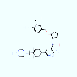 CC[C@@H]1CC(CO[C@H]2CCC[C@@H]2N[C@H](O)[C@H]2CC([C@@H]3CC=C(C(C)(C)N4CCNCC4)CC3)=CN[C@H]2N)=CC=C1C